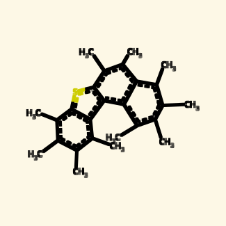 Cc1c(C)c(C)c2c(sc3c(C)c(C)c4c(C)c(C)c(C)c(C)c4c32)c1C